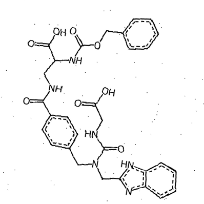 O=C(O)CNC(=O)N(Cc1ccc(C(=O)NCC(NC(=O)OCc2ccccc2)C(=O)O)cc1)Cc1nc2ccccc2[nH]1